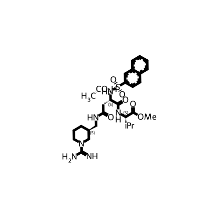 CC(=O)O.COC(=O)[C@@H](NC(=O)[C@H](CC(=O)NC[C@@H]1CCCN(C(=N)N)C1)NS(=O)(=O)c1ccc2ccccc2c1)C(C)C